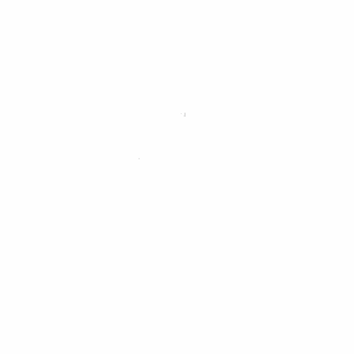 CC(C)Oc1ccc2c(c1)CCCC2CN.Cl